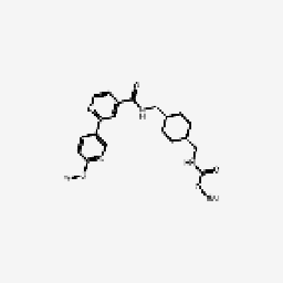 CCOc1ccc(-c2cc(C(=O)NC[C@H]3CC[C@H](CNC(=O)OC(C)(C)C)CC3)ccn2)cn1